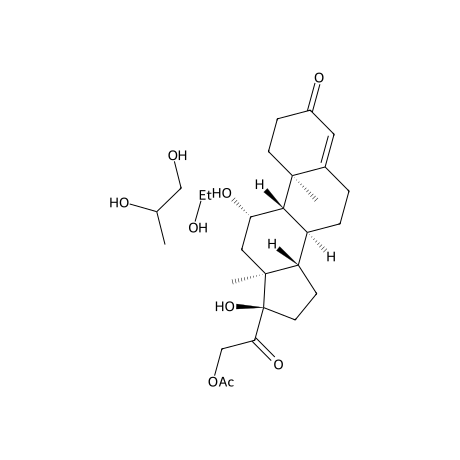 CC(=O)OCC(=O)[C@@]1(O)CC[C@H]2[C@@H]3CCC4=CC(=O)CC[C@]4(C)[C@H]3[C@@H](O)C[C@@]21C.CC(O)CO.CCO